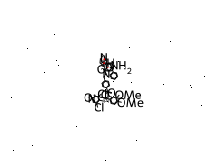 COc1ccc([C@H](Cc2c(Cl)c[n+]([O-])cc2Cl)OC(=O)c2ccc(CN(C(=O)O[C@H]3CN4CCC3CC4)c3ccccc3C(N)=O)cc2)cc1OC